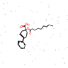 CCCCCCCCC(=O)OC1(C(=O)O)C=CC(c2ccccc2)=CC1